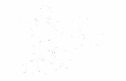 c1cc(-c2cc(-c3nc4ccccc4o3)c(-c3cccc(N4c5ccccc5Sc5ccccc54)c3)c(-c3cccc(N4c5ccccc5Sc5ccccc54)c3)c2-c2nc3ccccc3o2)cc(N2c3ccccc3Sc3ccccc32)c1